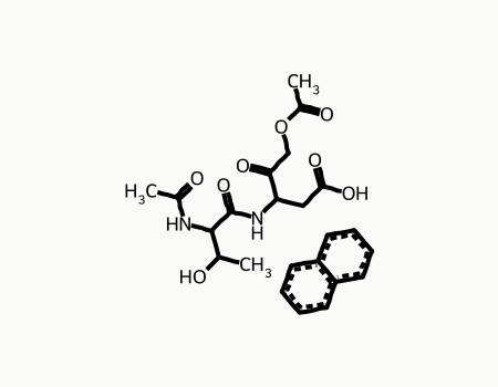 CC(=O)NC(C(=O)NC(CC(=O)O)C(=O)COC(C)=O)C(C)O.c1ccc2ccccc2c1